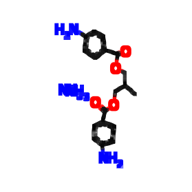 CC(COC(=O)c1ccc(N)cc1)COC(=O)c1ccc(N)cc1.N.N